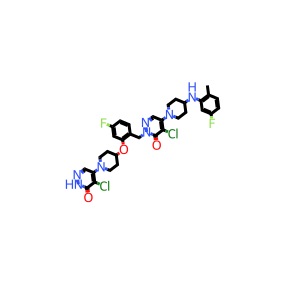 Cc1ccc(F)cc1NC1CCN(c2cnn(Cc3ccc(F)cc3OC3CCN(c4cn[nH]c(=O)c4Cl)CC3)c(=O)c2Cl)CC1